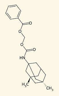 C[C@]12CC3CC(NC(=O)OCOC(=O)c4ccccc4)(C1)C[C@@](C)(C3)C2